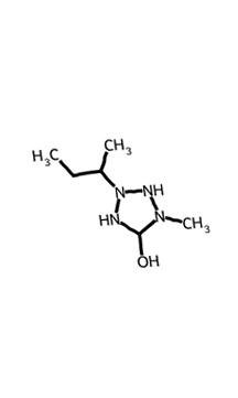 CCC(C)N1NC(O)N(C)N1